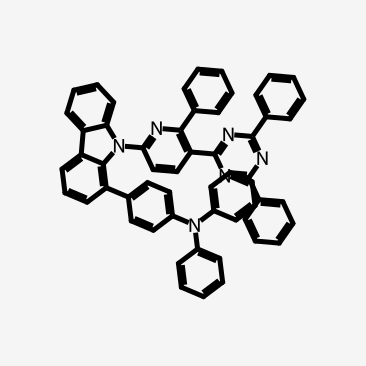 c1ccc(-c2nc(-c3ccccc3)nc(-c3ccc(-n4c5ccccc5c5cccc(-c6ccc(N(c7ccccc7)c7ccccc7)cc6)c54)nc3-c3ccccc3)n2)cc1